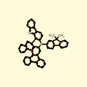 CC1(C)c2ccccc2-c2ccc(N(c3ccc4c5ccccc5c5ccccc5c4c3)c3ccc4c(oc5ccccc54)c3-c3ccc4ccccc4c3)cc21